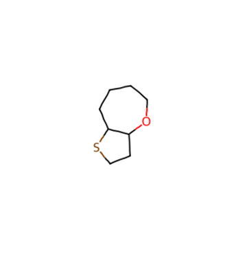 C1CCC2SCCC2OC1